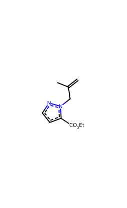 C=C(C)Cn1nccc1C(=O)OCC